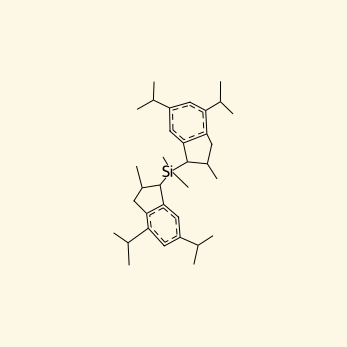 CC(C)c1cc(C(C)C)c2c(c1)C([Si](C)(C)C1c3cc(C(C)C)cc(C(C)C)c3CC1C)C(C)C2